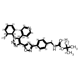 CC(C)(C)OC(=O)NCc1ccc(-c2noc(-c3nnn(C4C=CC=CC4F)c3-c3ccncc3)n2)cc1